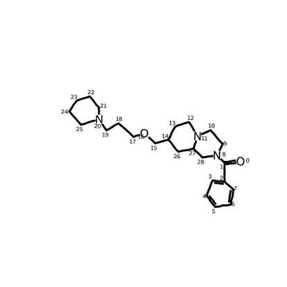 O=C(c1ccccc1)N1CCN2CCC(COCCCN3CCCCC3)CC2C1